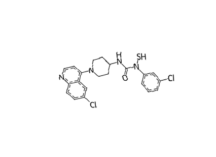 O=C(NC1CCN(c2ccnc3ccc(Cl)cc23)CC1)N(S)c1cccc(Cl)c1